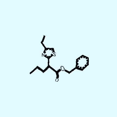 CCCC(C(=O)OCc1ccccc1)c1nc(CC)cs1